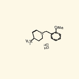 COc1ccccc1CN1CCC(N)CC1.Cl.Cl